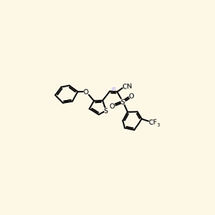 N#C/C(=C/c1sccc1Oc1ccccc1)S(=O)(=O)c1cccc(C(F)(F)F)c1